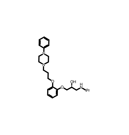 CC(C)NC[C@H](O)COc1ccccc1OCCCN1CCN(c2ccccc2)CC1